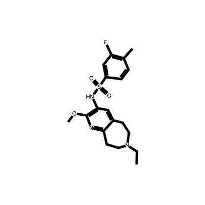 CCN1CCc2cc(NS(=O)(=O)c3ccc(C)c(F)c3)c(OC)nc2CC1